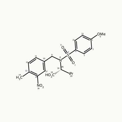 COc1ccc(S(=O)(=O)N(Cc2ccc(C)c([N+](=O)[O-])c2)[C@@H](C(=O)O)C(C)C)cc1